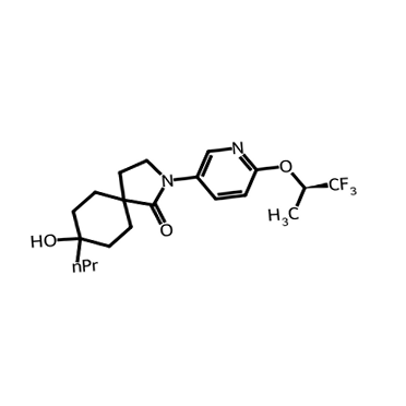 CCCC1(O)CCC2(CCN(c3ccc(O[C@H](C)C(F)(F)F)nc3)C2=O)CC1